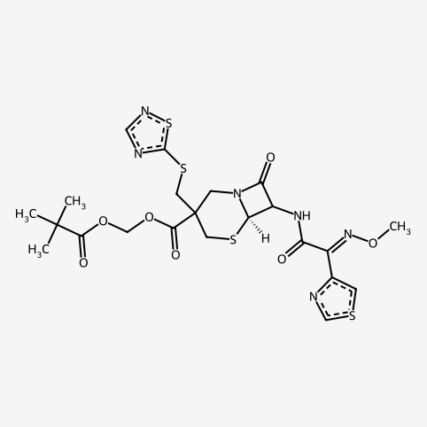 CON=C(C(=O)NC1C(=O)N2CC(CSc3ncns3)(C(=O)OCOC(=O)C(C)(C)C)CS[C@H]12)c1cscn1